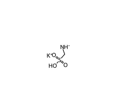 [K+].[NH-]CS(=O)(=O)O